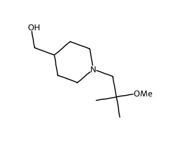 COC(C)(C)CN1CCC(CO)CC1